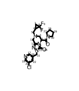 O=C(C1CN(CC2CC2(F)F)Cc2nn(Cc3cncc(Cl)c3)c(=O)n21)N1CCCC1